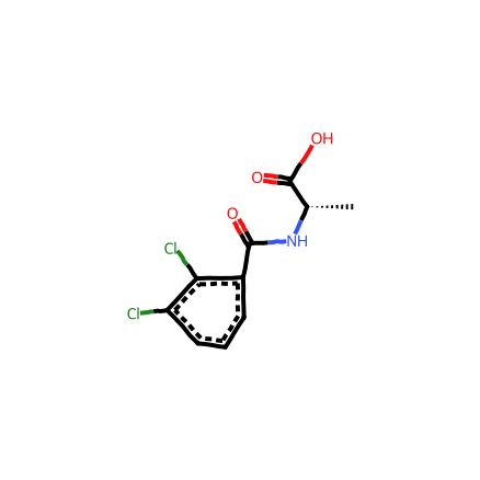 C[C@H](NC(=O)c1cccc(Cl)c1Cl)C(=O)O